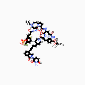 CCN1CC[C@H]2CC[C@@H](C(=O)NC(CCC(N)=O)C(=O)NC(Cc3ccc(C(=O)OC(C)(C)C)cc3)C(=O)N3CCC(CCC#Cc4cccc5c4CN(C4CCC(=O)NC4=O)C5=O)CC3)N2C(=O)[C@@H](NC(=O)c2cc3cc(C(F)(F)P(=O)(O)O)ccc3s2)C1